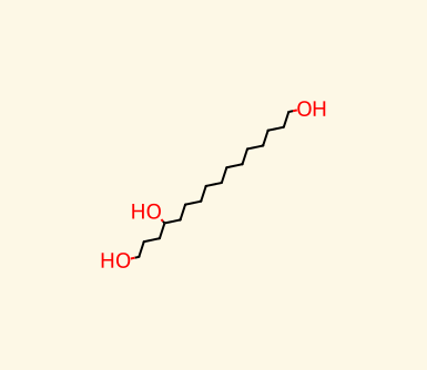 OCCCCCCCCCCCCC(O)CCCO